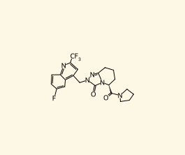 O=C([C@@H]1CCCc2nn(Cc3cc(C(F)(F)F)nc4ccc(F)cc34)c(=O)n21)N1CCCC1